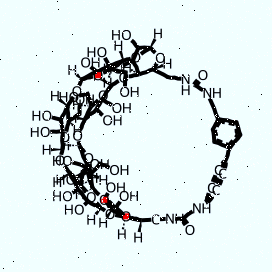 O=C1NC[C@H]2O[C@@H]3O[C@H]4C(O)C(O)[C@H](O[C@@H]4CO)O[C@H]4C(O)C(O)[C@H](O[C@@H]4CO)O[C@H]4C(O)C(O)[C@H](O[C@@H]4CNC(=O)Nc4ccc(cc4)-c4ccc(cc4)N1)O[C@H]1C(O)C(O)[C@H](O[C@@H]1CO)O[C@H]1C(O)C(O)[C@H](O[C@@H]1CO)O[C@H]1C(O)C(O)[C@H](O[C@@H]1CO)O[C@H]2C(O)C3O